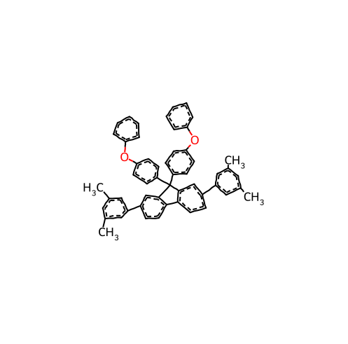 Cc1cc(C)cc(-c2ccc3c(c2)C(c2ccc(Oc4ccccc4)cc2)(c2ccc(Oc4ccccc4)cc2)c2cc(-c4cc(C)cc(C)c4)ccc2-3)c1